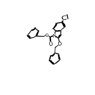 O=C(OCc1ccccc1)n1c(OCc2ccccc2)cc2cc(Cl)ccc21